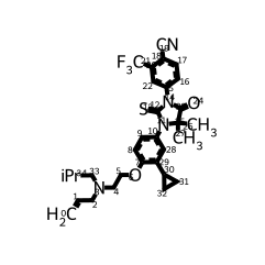 C=CCN(CCOc1ccc(N2C(=S)N(c3ccc(C#N)c(C(F)(F)F)c3)C(=O)C2(C)C)cc1C1CC1)CC(C)C